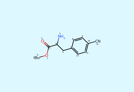 CC(C)(C)OC(=O)C(N)Cc1ccc(C#N)cc1